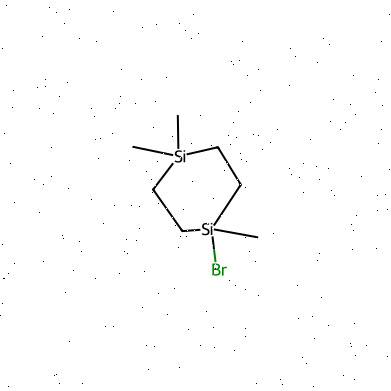 C[Si]1(C)CC[Si](C)(Br)CC1